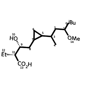 CCC(C)C(CC(C)C1CC1C[C@@H](O)[C@@H](CC)C(=O)O)OC